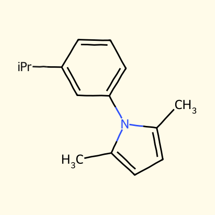 Cc1ccc(C)n1-c1cccc(C(C)C)c1